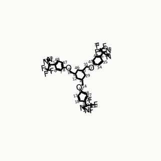 FC(F)(F)C1(c2ccc(OCC3CC(COc4ccc(C5(C(F)(F)F)N=N5)cc4)CC(COc4ccc(C5(C(F)(F)F)N=N5)cc4)C3)cc2)N=N1